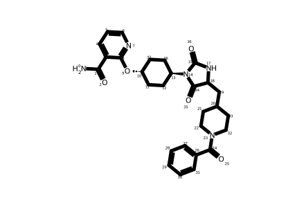 NC(=O)c1cccnc1O[C@H]1CC[C@H](N2C(=O)NC(CC3CCN(C(=O)c4ccccc4)CC3)C2=O)CC1